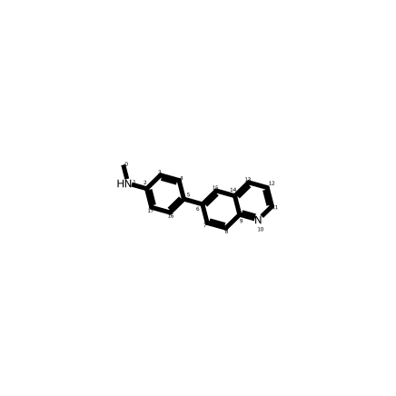 CNc1ccc(-c2ccc3ncccc3c2)cc1